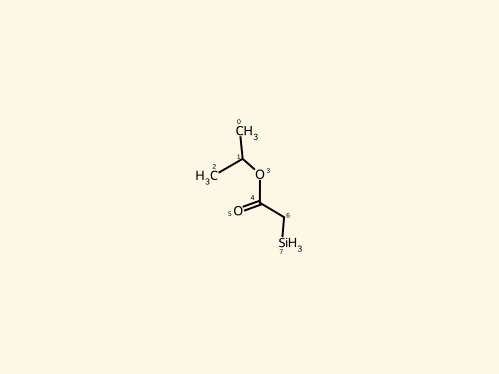 CC(C)OC(=O)C[SiH3]